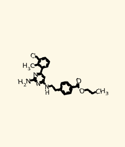 CCCOC(=O)c1ccc(CCNc2cc(-c3cccc(Cl)c3C)nc(N)n2)cc1